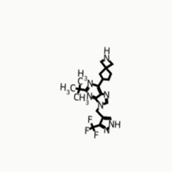 CC(C)(C)c1nc(C2CCC3(CNC3)C2)c2ncn(Cc3c[nH]nc3C(F)(F)F)c2n1